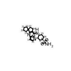 NS(=O)(=O)[C@H]1CC[C@H](Nc2c3c(nc4ccnn24)C2(CCCC2)CC3)CC1